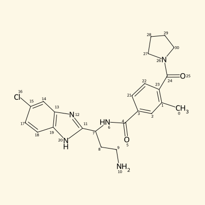 Cc1cc(C(=O)NC(CCN)c2nc3cc(Cl)ccc3[nH]2)ccc1C(=O)N1CCCC1